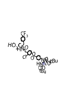 CC(C)(C)OC(=O)/N=C(/NC(=O)OC(C)(C)C)Nc1ccc(C(=O)Oc2ccc(CC(=O)N[C@@H](Cc3ccc(C(F)(F)F)cc3)C(=O)O)c(Cl)c2)cc1